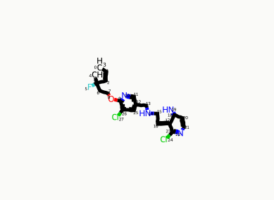 C/C=C\C(C)(F)CCOc1ncc(CNC/C=C2\C(=N)C=CN=C2Cl)cc1Cl